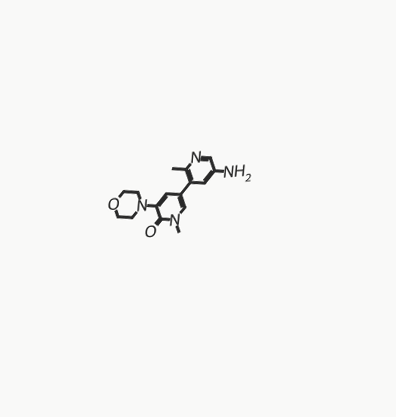 Cc1ncc(N)cc1-c1cc(N2CCOCC2)c(=O)n(C)c1